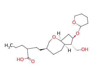 CCCC(CC[C@@H]1CC[C@@H]2[C@@H](CO)[C@H](OC3CCCCO3)C[C@@H]2OC1)C(=O)O